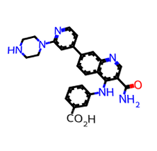 NC(=O)c1cnc2cc(-c3ccnc(N4CCNCC4)c3)ccc2c1Nc1cccc(C(=O)O)c1